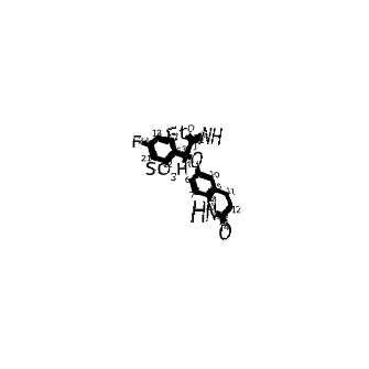 CCC(=N)C(Oc1ccc2c(c1)CCC(=O)N2)(c1ccc(F)cc1)S(=O)(=O)O